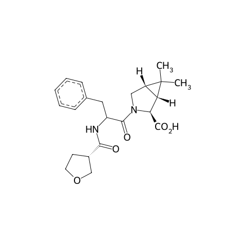 CC1(C)[C@@H]2[C@@H](C(=O)O)N(C(=O)C(Cc3ccccc3)NC(=O)[C@H]3CCOC3)C[C@@H]21